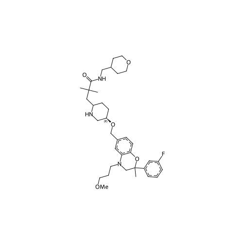 COCCCN1CC(C)(c2cccc(F)c2)Oc2ccc(CO[C@@H]3CCC(CC(C)(C)C(=O)NCC4CCOCC4)NC3)cc21